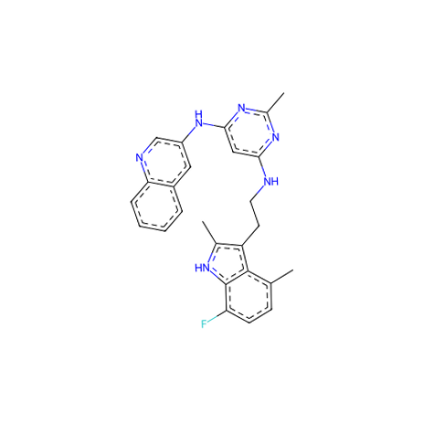 Cc1nc(NCCc2c(C)[nH]c3c(F)ccc(C)c23)cc(Nc2cnc3ccccc3c2)n1